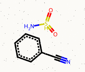 N#Cc1ccccc1.N[SH](=O)=O